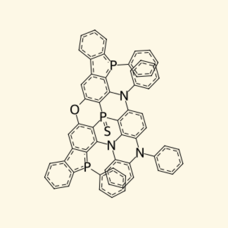 S=P12c3c4ccc5c3N(c3ccccc3N5c3ccccc3)c3c1c(cc1c5ccccc5p(-c5ccccc5)c31)Oc1cc3c5ccccc5p(-c5ccccc5)c3c(c12)N4c1ccccc1